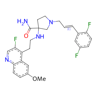 COc1ccc2ncc(F)c(CCNC3(C(N)=O)CCN(C/C=C/c4cc(F)ccc4F)C3)c2c1